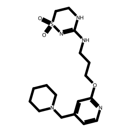 O=S1(=O)CCNC(NCCCOc2cc(CN3CCCCC3)ccn2)=N1